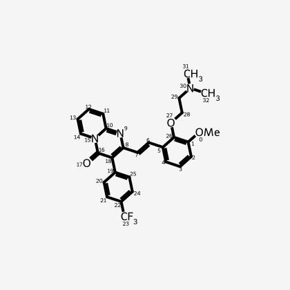 COc1cccc(/C=C/c2nc3ccccn3c(=O)c2-c2ccc(C(F)(F)F)cc2)c1OCCN(C)C